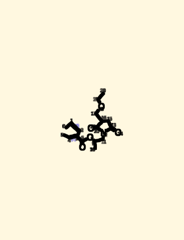 C/C=C\C(=C/C)C(=O)OC(C)CN1C(=O)CC(COCC)C1=O